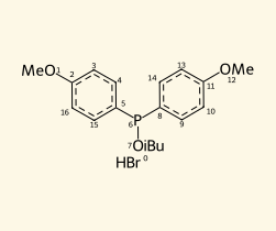 Br.COc1ccc(P(OCC(C)C)c2ccc(OC)cc2)cc1